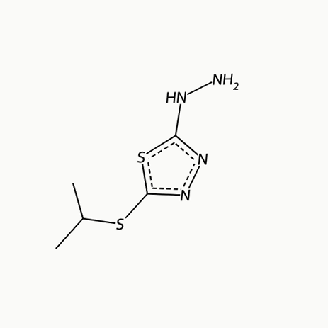 CC(C)Sc1nnc(NN)s1